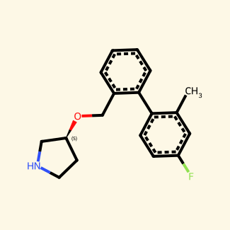 Cc1cc(F)ccc1-c1ccccc1CO[C@H]1CCNC1